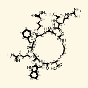 CC(=O)N[C@@H](CCCNC(=N)N)C(=O)N[C@H]1CC(=O)NCCCCC[C@@H](C(=O)O)NC(=O)[C@H](Cc2c[nH]c3ccccc23)NC(=O)[C@H](CCCNC(=N)N)NC(=O)[C@@H](Cc2ccccc2)NC(O)[C@H](CCCNC(=N)N)NC1=O